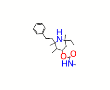 CCC1(C)CC(OC(=O)NC)C(C)C(C)(CCc2ccccc2)N1